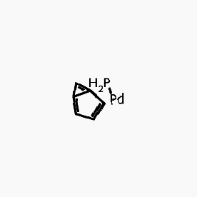 [PH2][Pd].c1cc2cc-2c1